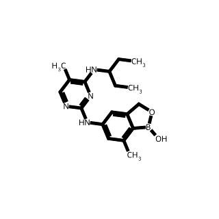 CCC(CC)Nc1nc(Nc2cc(C)c3c(c2)COB3O)ncc1C